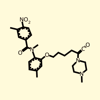 Cc1ccc(N(C)C(=O)c2ccc([N+](=O)[O-])c(C)c2)c(OCCCCC(=C=O)N2CCN(C)CC2)c1